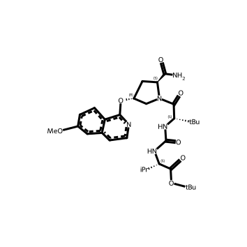 COc1ccc2c(O[C@@H]3C[C@@H](C(N)=O)N(C(=O)[C@@H](NC(=O)N[C@H](C(=O)OC(C)(C)C)C(C)C)C(C)(C)C)C3)nccc2c1